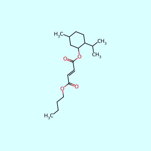 CCCCOC(=O)C=CC(=O)OC1CC(C)CCC1C(C)C